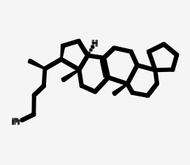 CC(C)CCC[C@@H](C)[C@H]1CC[C@H]2C3=C(CC[C@]12C)[C@@]1(C)CCCC2(CCCC2)C1CC3